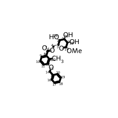 CO[C@@H]1O[C@H](COC(=O)c2cccc(OCc3ccccc3)c2C)[C@@H](O)[C@H](O)[C@H]1O